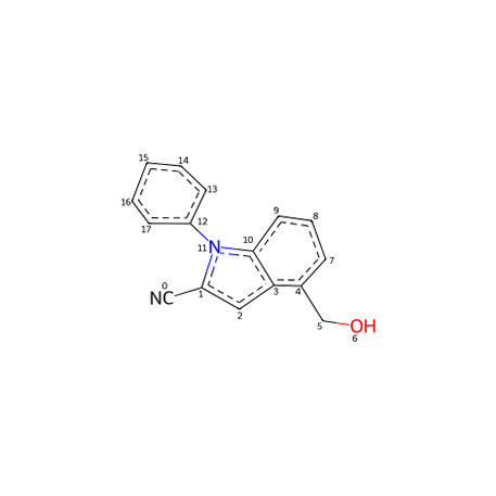 N#Cc1cc2c(CO)cccc2n1-c1ccccc1